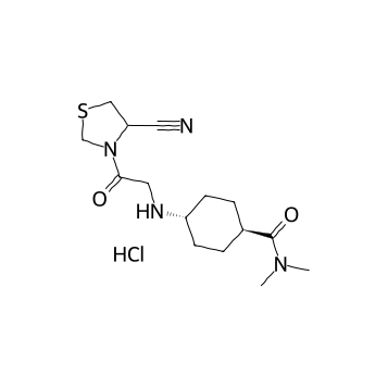 CN(C)C(=O)[C@H]1CC[C@H](NCC(=O)N2CSCC2C#N)CC1.Cl